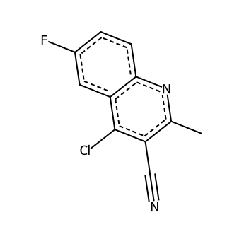 Cc1nc2ccc(F)cc2c(Cl)c1C#N